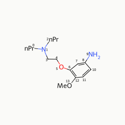 CCCN(CCC)CCOc1cc(N)ccc1OC